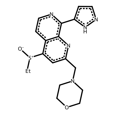 CC[S+]([O-])c1cc(CN2CCOCC2)nc2c(-c3ccn[nH]3)nccc12